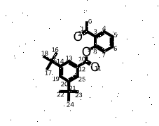 CC(=O)c1ccccc1OC(=O)c1cc(C(C)(C)C)cc(C(C)(C)C)c1